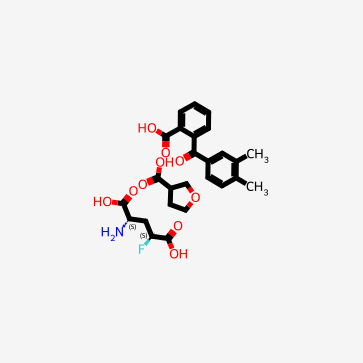 Cc1ccc(C(=O)c2ccccc2C(=O)O)cc1C.N[C@@H](C[C@H](F)C(=O)O)C(=O)O.O=C(O)C1CCOC1